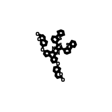 O=c1ccc2ccc(Oc3ccc4c5ccc(Oc6ccc7ccc(=O)oc7c6)cc5c5nc6c(-c7cccc8c7sc7ccccc78)sc(-c7cccc8c7sc7ccccc78)c6nc5c4c3)cc2o1